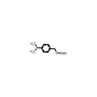 CSOCc1ccc(N(C)C)cc1